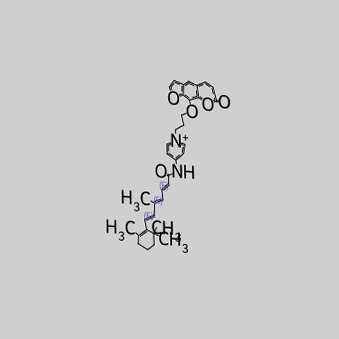 CC1=C(/C=C/C(C)=C/C=C/C(=O)Nc2cc[n+](CCCOc3c4occc4cc4ccc(=O)oc34)cc2)C(C)(C)CCC1